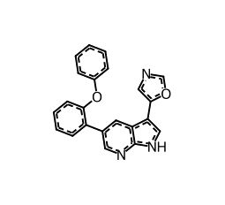 c1ccc(Oc2ccccc2-c2cnc3[nH]cc(-c4cnco4)c3c2)cc1